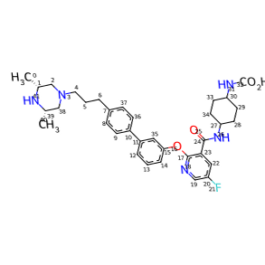 C[C@@H]1CN(CCCc2ccc(-c3cccc(Oc4ncc(F)cc4C(=O)NC4CCC(NC(=O)O)CC4)c3)cc2)C[C@H](C)N1